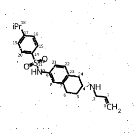 C=CCN[C@@H]1CCc2cc(NS(=O)(=O)c3ccc(C(C)C)cc3)ccc2C1